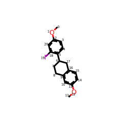 COc1ccc(C2CCc3cc(OC)ccc3C2)c(I)c1